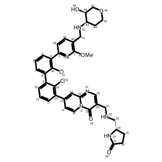 COc1nc(-c2cccc(-c3cccc(-c4ccn5c(=O)c(CNC[C@@H]6CCC(=O)N6)cnc5c4)c3Cl)c2Cl)ccc1CN[C@@H]1CCOC[C@@H]1O